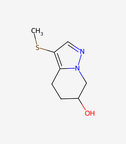 CSc1cnn2c1CCC(O)C2